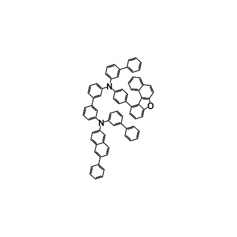 c1ccc(-c2cccc(N(c3ccc(-c4cccc5oc6ccc7ccccc7c6c45)cc3)c3cccc(-c4cccc(N(c5cccc(-c6ccccc6)c5)c5ccc6cc(-c7ccccc7)ccc6c5)c4)c3)c2)cc1